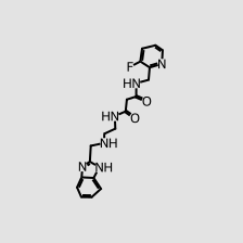 O=C(CC(=O)NCc1ncccc1F)NCCNCc1nc2ccccc2[nH]1